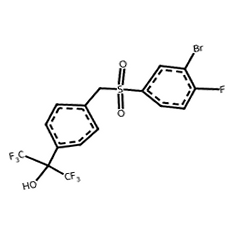 O=S(=O)(Cc1ccc(C(O)(C(F)(F)F)C(F)(F)F)cc1)c1ccc(F)c(Br)c1